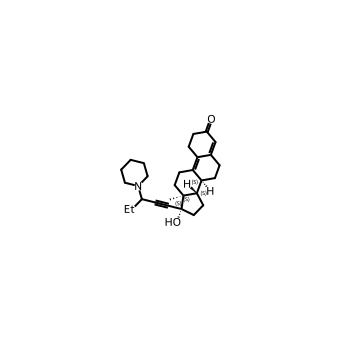 CCC(C#C[C@]1(O)CC[C@H]2[C@@H]3CCC4=CC(=O)CCC4=C3CC[C@@]21C)N1CCCCC1